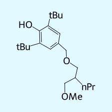 CCCC(COC)COCc1cc(C(C)(C)C)c(O)c(C(C)(C)C)c1